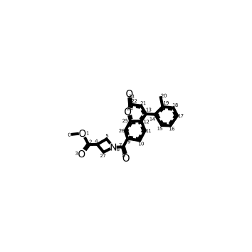 COC(=O)C1CN(C(=O)c2ccc3c(-c4ccccc4C)cc(=O)oc3c2)C1